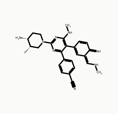 CN/C=C1/C=C(c2c(NC)nc(N3CC[C@@H](N)[C@@H](F)C3)nc2-c2ccc(C#N)cc2)C=CC1=N